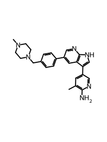 Cc1cc(-c2c[nH]c3ncc(-c4ccc(CN5CCN(C)CC5)cc4)cc23)cnc1N